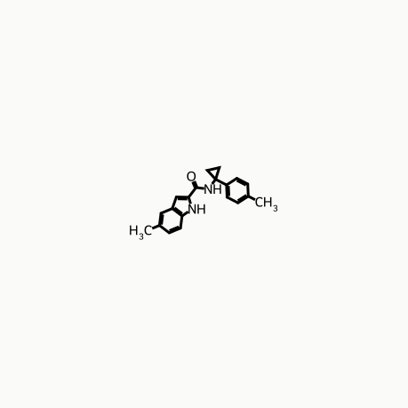 Cc1ccc(C2(NC(=O)c3cc4cc(C)ccc4[nH]3)CC2)cc1